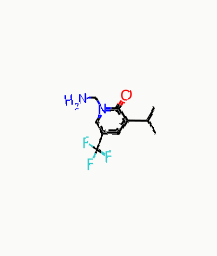 CC(C)c1cc(C(F)(F)F)cn(CN)c1=O